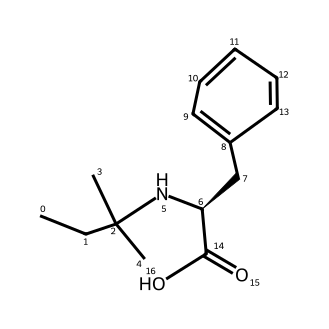 CCC(C)(C)N[C@@H](Cc1ccccc1)C(=O)O